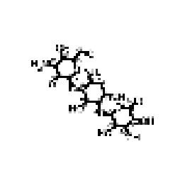 CCC1OC(OC2C(C)CC(N)C(OC3OC(CO)C(O)C(N)C3O)C2O)C(O)C(O)C1O